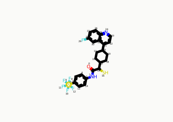 O=C(Nc1ccc(S(F)(F)(F)(F)F)cc1)C(S)C1CCC(c2ccnc3ccc(F)cc23)CC1